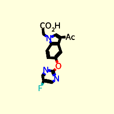 CC(=O)c1cn(CC(=O)O)c2ccc(Oc3ncc(F)cn3)cc12